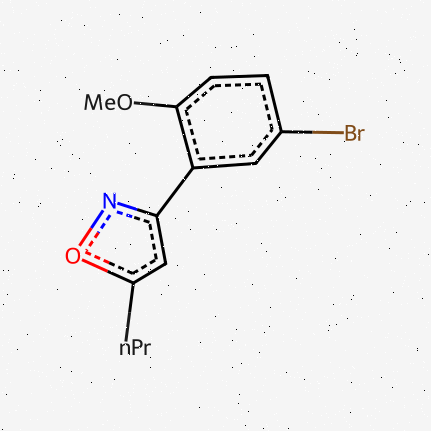 CCCc1cc(-c2cc(Br)ccc2OC)no1